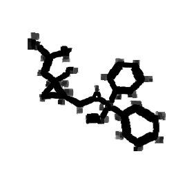 CC(C)(C)[Si](OC[C@H]1C[C@]1(F)C=C(Br)Br)(c1ccccc1)c1ccccc1